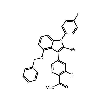 COC(=O)c1ncc(-c2c(C(C)C)n(-c3ccc(F)cc3)c3cccc(OCc4ccccc4)c23)cc1F